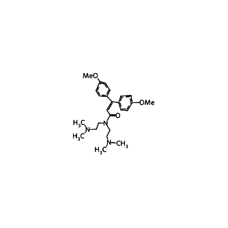 COc1ccc(C(=CC(=O)N(CCN(C)C)CCN(C)C)c2ccc(OC)cc2)cc1